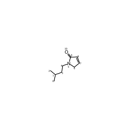 CC(C)CCN1CC=CC1=O